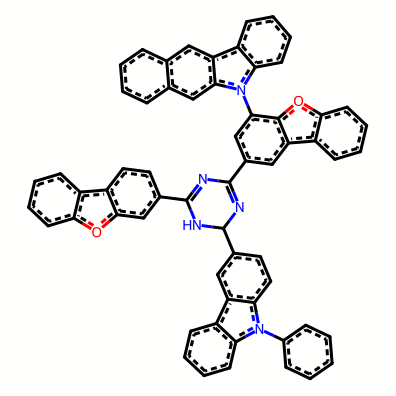 c1ccc(-n2c3ccccc3c3cc(C4N=C(c5cc(-n6c7ccccc7c7cc8ccccc8cc76)c6oc7ccccc7c6c5)N=C(c5ccc6c(c5)oc5ccccc56)N4)ccc32)cc1